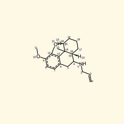 C=CCNC1Cc2ccc(OC)c3c2C2(C)[C@@H]1CCC[C@H]2O3